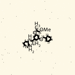 C=C(Nc1cccnc1N)c1cc(OCc2ccccc2)cc(O[C@@H](C)COC)c1